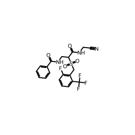 N#CCNC(=O)C(CNC(=O)c1ccccc1)S(=O)(=O)Cc1c(F)cccc1C(F)(F)F